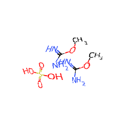 COC(=N)N.COC(=N)N.O=S(=O)(O)O